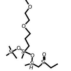 CC[Si](=O)C[SiH](C)O[Si](C)(CCCOCCOC)O[Si](C)(C)C